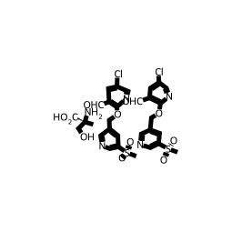 CS(=O)(=O)c1cncc(COc2ncc(Cl)cc2C=O)c1.CS(=O)(=O)c1cncc(COc2ncc(Cl)cc2C=O)c1.C[C@](N)(CO)C(=O)O